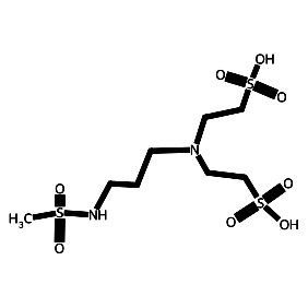 CS(=O)(=O)NCCCN(CCS(=O)(=O)O)CCS(=O)(=O)O